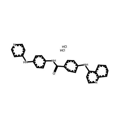 Cl.Cl.O=C(Nc1ccc(Nc2ccncc2)cc1)c1ccc(Nc2ccnc3ccccc23)cc1